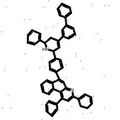 C1=CCCC(c2cc(-c3ccccc3)c3c(cc(-c4ccc(C5C=C(c6cccc(-c7ccccc7)c6)CC(c6ccccc6)N5)cc4)c4ccccc43)n2)=C1